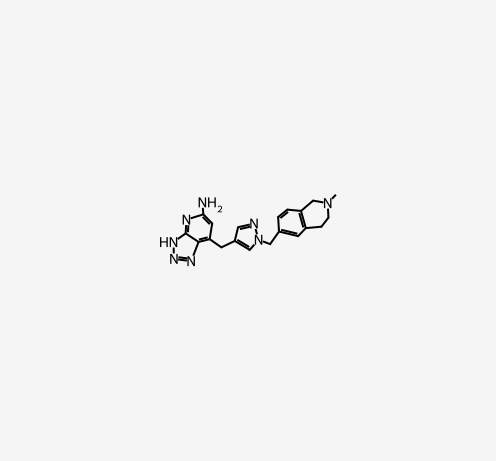 CN1CCc2cc(Cn3cc(Cc4cc(N)nc5[nH]nnc45)cn3)ccc2C1